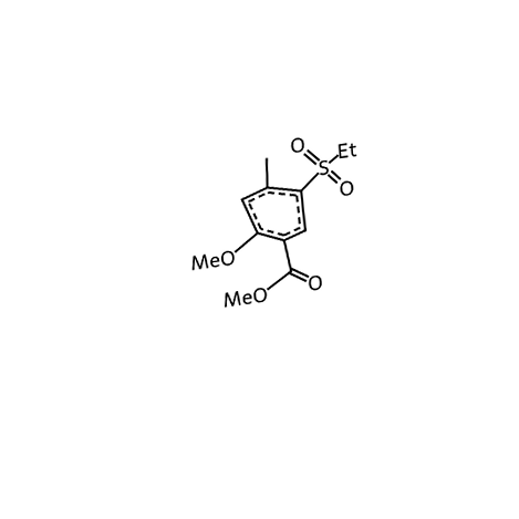 CCS(=O)(=O)c1cc(C(=O)OC)c(OC)cc1C